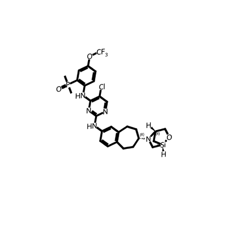 CP(C)(=O)c1cc(OC(F)(F)F)ccc1Nc1nc(Nc2ccc3c(c2)CC[C@H](N2C[Si@@H]4C[C@H]2CO4)CC3)ncc1Cl